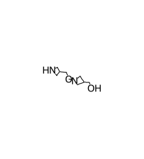 OCC1CN(OCC2CNC2)C1